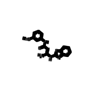 COc1cccc(NC(=O)N=C(N)Nc2nc3ccccc3s2)c1